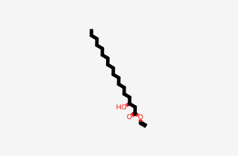 C=COC(=O)CC(O)CCCCCCCCCCCCCCC